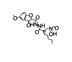 CCCCC[C@H](CN(O)C=O)C(=O)NNC(=O)C1Oc2ccc(OC)cc2C1=O